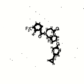 O=C(c1cccc(C(F)(F)F)c1F)N1CCC(=O)N2C[C@H](Oc3cnc(C4CC4)cn3)C[C@@H]2C1